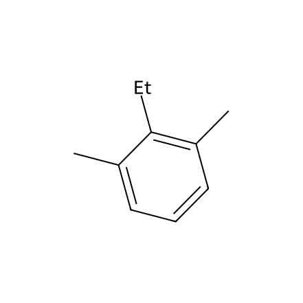 CCc1c(C)cccc1C